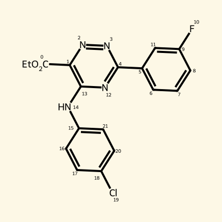 CCOC(=O)c1nnc(-c2cccc(F)c2)nc1Nc1ccc(Cl)cc1